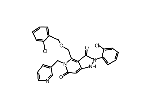 O=c1c2c(COCc3ccccc3Cl)n(Cc3cccnc3)c(=O)cc2[nH]n1-c1ccccc1Cl